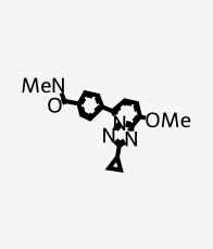 CNC(=O)c1ccc(-c2ccc(OC)c3nc(C4CC4)nn23)cc1